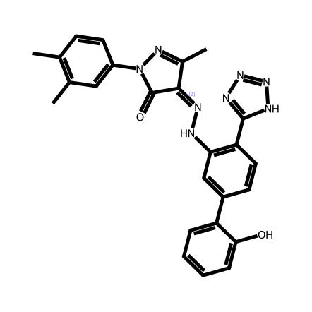 CC1=NN(c2ccc(C)c(C)c2)C(=O)/C1=N\Nc1cc(-c2ccccc2O)ccc1-c1nnn[nH]1